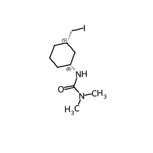 CN(C)C(=O)N[C@@H]1CCC[C@H](CI)C1